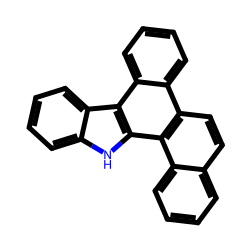 c1ccc2c(c1)ccc1c3ccccc3c3c4ccccc4[nH]c3c21